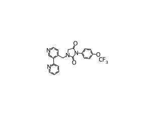 O=C1CN(Cc2ccncc2-c2ccccn2)C(=O)N1c1ccc(OC(F)(F)F)cc1